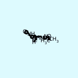 CN(C)C(=O)c1ccc(NCC#Cc2cc3cc(CNC4CCOCC4)ccc3n2CC(F)(F)F)cn1